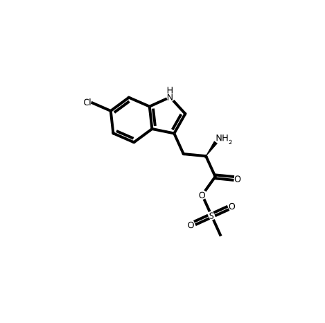 CS(=O)(=O)OC(=O)[C@H](N)Cc1c[nH]c2cc(Cl)ccc12